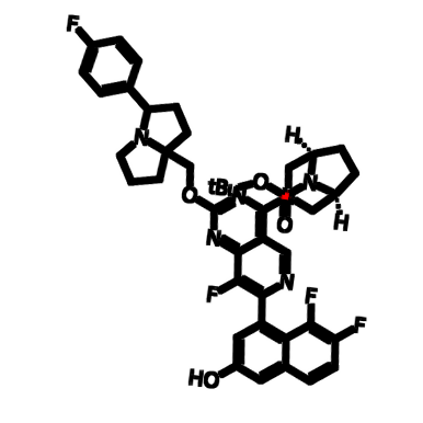 CC(C)(C)OC(=O)N1[C@@H]2CC[C@H]1CN(c1nc(OCC34CCCN3C(c3ccc(F)cc3)CC4)nc3c(F)c(-c4cc(O)cc5ccc(F)c(F)c45)ncc13)C2